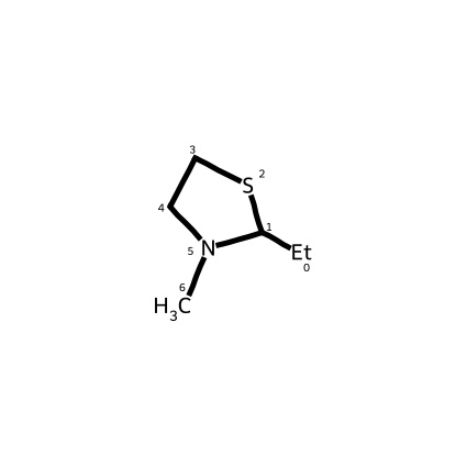 CCC1SCCN1C